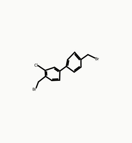 Clc1cc(-c2ccc(CBr)cc2)ccc1CBr